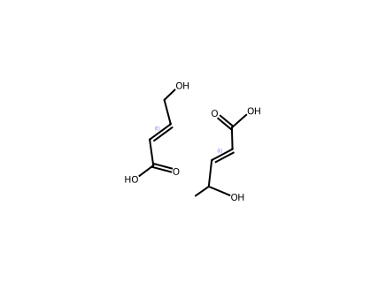 CC(O)/C=C/C(=O)O.O=C(O)/C=C/CO